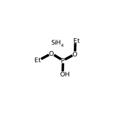 CCOP(O)OCC.[SiH4]